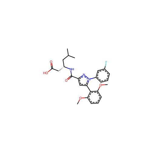 COc1cccc(OC)c1-c1cc(C(=O)N[C@H](CC(=O)O)CC(C)C)nn1-c1cccc(F)c1